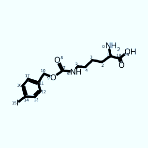 NC(CCCCNC(=O)OCc1ccc(I)cc1)C(=O)O